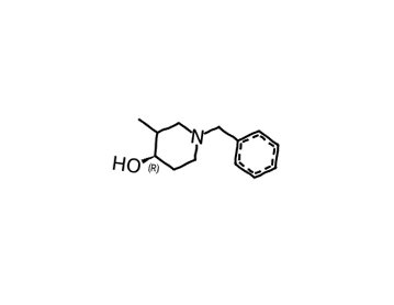 CC1CN(Cc2ccccc2)CC[C@H]1O